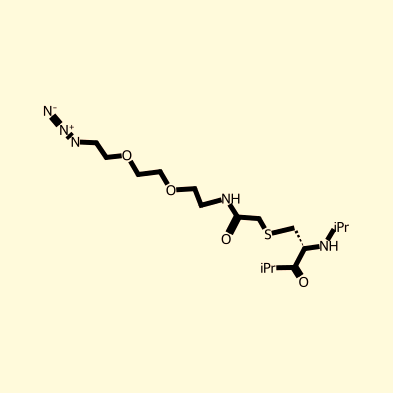 CC(C)N[C@@H](CSCC(=O)NCCOCCOCCN=[N+]=[N-])C(=O)C(C)C